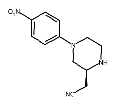 N#CC[C@H]1CN(c2ccc([N+](=O)[O-])cc2)CCN1